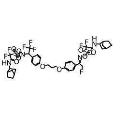 O=C(NC1CC2CCC1C2)C(F)(F)S(=O)(=O)ON=C(CF)c1ccc(OCCCOc2ccc(C(NOS(=O)(=O)C(F)(F)C(=O)NC3CC4CCC3C4)C(F)(F)F)cc2)cc1